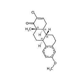 COc1ccc2c(c1)CC[C@@H]1[C@@H]2CC[C@]2(C)C(=O)C(Cl)=CC[C@@H]12